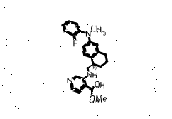 COC(O)c1ccncc1NC[C@@H]1CCCc2cc(N(C)c3ccccc3F)ccc21